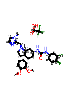 COc1ccc([C@@]23CC[C@@H](NC(=O)Nc4ccc(F)c(F)c4)C[C@@H]2N(Cc2nccn2C)CC3)cc1OC.O=C(O)C(F)(F)F